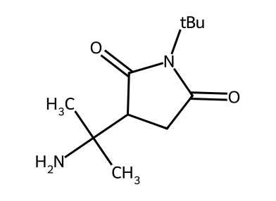 CC(C)(N)C1CC(=O)N(C(C)(C)C)C1=O